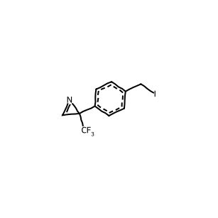 FC(F)(F)C1(c2ccc(CI)cc2)C=N1